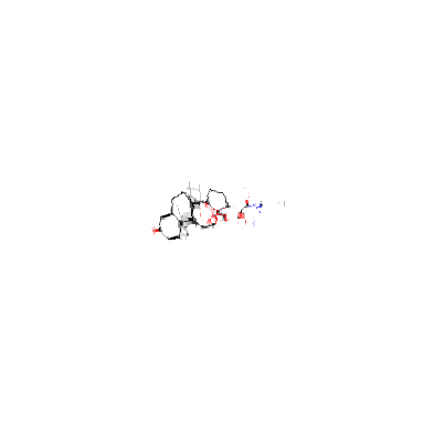 CCCCNC(=O)C(=O)[C@H]1CCC2(O)[C@@H]3CCC4=CC(=O)C=C[C@]4(C)[C@H]3CC[C@]12C